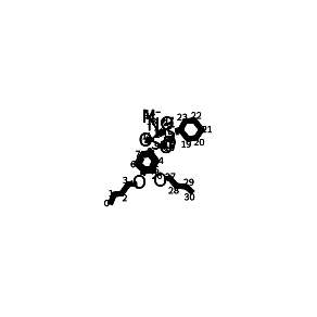 CCCCOc1ccc(S(=O)(=O)C(=[N+]=[N-])S(=O)(=O)C2CCCCC2)cc1OCCCC